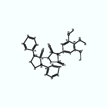 COc1cc(N2C(=O)CC(P3(=O)N(c4ccccc4)CCN3c3ccccc3)C2=O)cc(OC)c1OC